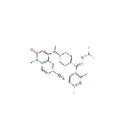 Cc1nc(F)ccc1/C(=N/OC(F)F)[C@H]1CC[C@H](N(C)c2cc(=O)n(C)c3ccc(C#N)nc23)CC1